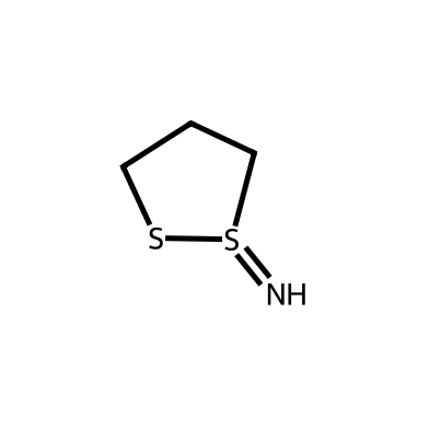 N=S1CCCS1